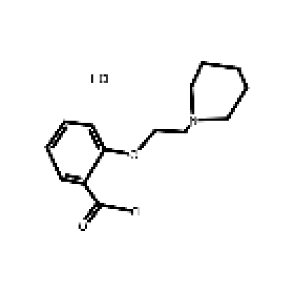 Cl.O=C(Cl)c1ccccc1OCCN1CCCCC1